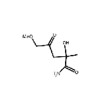 COCC(=O)CC(C)(O)C(N)=O